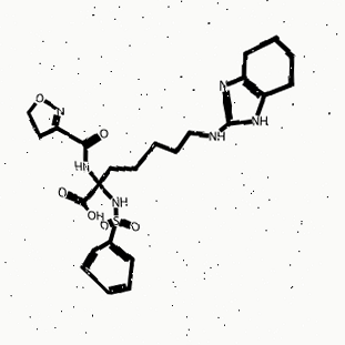 O=C(NC(CCCCCNc1nc2c([nH]1)CCCC2)(NS(=O)(=O)c1ccccc1)C(=O)O)C1=NOCC1